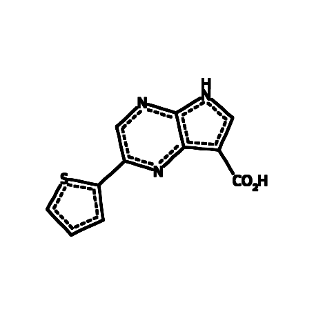 O=C(O)c1c[nH]c2ncc(-c3cccs3)nc12